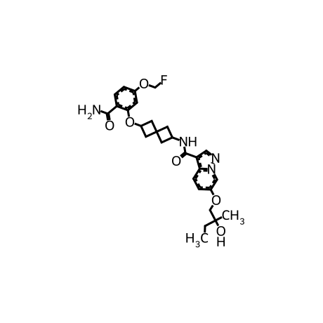 CCC(C)(O)COc1ccc2c(C(=O)NC3CC4(C3)CC(Oc3cc(OCF)ccc3C(N)=O)C4)cnn2c1